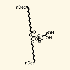 CCCCCCCCCC/C=C\CCCCCCCCCC(=O)O[C@H](COCCCCCCCCCCCCCCCCCC)COP(=O)(O)OC[C@@H](O)CO